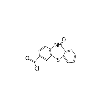 O=C(Cl)c1ccc2c(c1)Sc1ccccc1C(=O)N2